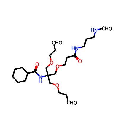 O=CCCOCC(COCCC=O)(COCCC(=O)NCCCNC=O)NC(=O)C1CCCCC1